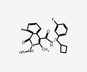 CCCNn1c(C)c(C(=O)N[C@H](c2cccc(F)c2)C2CCC2)c2cccc(I)c2c1=O